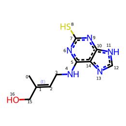 C/C(=C\CNc1nc(S)nc2[nH]cnc12)CO